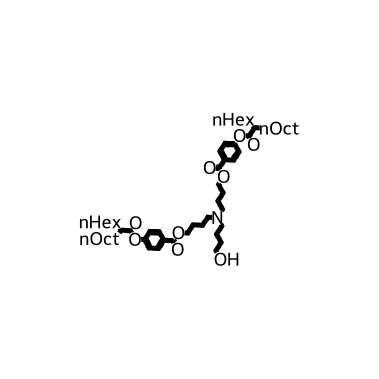 CCCCCCCCC(CCCCCC)C(=O)Oc1ccc(C(=O)OCCCCN(CCCCO)CCCCOC(=O)c2ccc(OC(=O)C(CCCCCC)CCCCCCCC)cc2)cc1